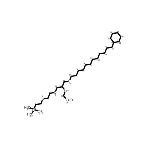 C[N+](C)(C)CCOCCOCC(COCCCCCCCCCCCCC1CCCCC1)OCC(=O)[O-]